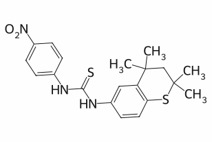 CC1(C)CC(C)(C)c2cc(NC(=S)Nc3ccc([N+](=O)[O-])cc3)ccc2S1